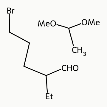 CCC(C=O)CCCBr.COC(C)OC